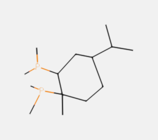 CC(C)C1CCC(C)(P(C)C)C(P(C)C)C1